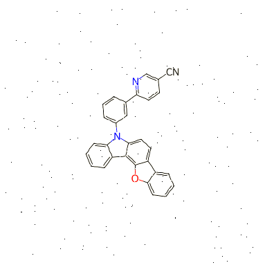 N#Cc1ccc(-c2cccc(-n3c4ccccc4c4c5oc6ccccc6c5ccc43)c2)nc1